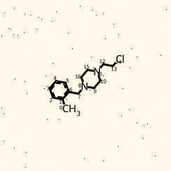 Cc1ccccc1CN1CCN(CCCl)CC1